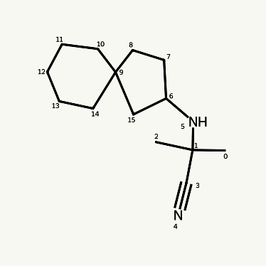 CC(C)(C#N)NC1CCC2(CCCCC2)C1